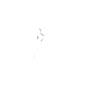 COCCOCCOc1ccc2c(c1)CN(C)C2=O